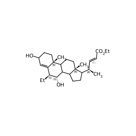 CCOC(=O)/C=C/[C@@H](C)C1CCC2C3C(CC[C@@]21C)[C@@]1(C)CCC(O)C=C1[C@H](CC)[C@H]3O